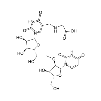 CO[C@@H]1[C@H](O)[C@@H](CO)O[C@H]1n1ccc(=O)[nH]c1=O.O=C(O)CNCc1cn([C@@H]2O[C@H](CO)[C@@H](O)[C@H]2O)c(=O)[nH]c1=O